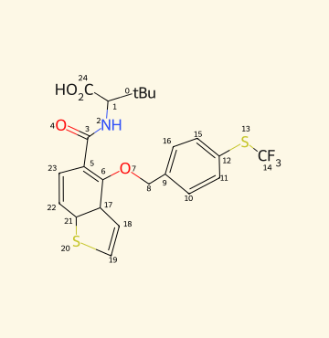 CC(C)(C)C(NC(=O)C1=C(OCc2ccc(SC(F)(F)F)cc2)C2C=CSC2C=C1)C(=O)O